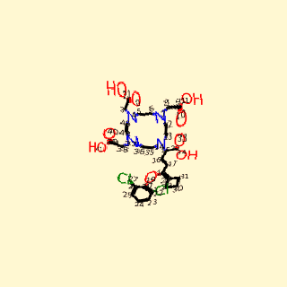 O=C(O)CN1CCN(CC(=O)O)CCN(C(CCC(Oc2c(Cl)cccc2Cl)=C2CCC2)C(=O)O)CCN(CC(=O)O)CC1